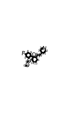 COCOc1cc(F)ccc1C1(O)C=CC=CC1CCc1ccncc1